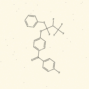 O=C(c1ccc(F)cc1)c1ccc(OC(F)(Sc2ccccc2)C(F)C(F)(F)F)cc1